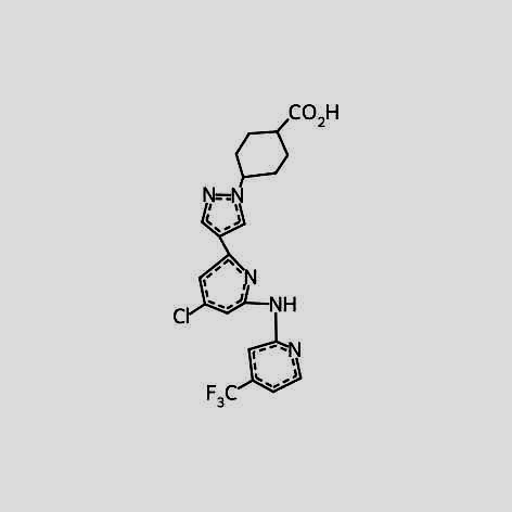 O=C(O)C1CCC(n2cc(-c3cc(Cl)cc(Nc4cc(C(F)(F)F)ccn4)n3)cn2)CC1